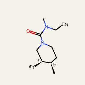 CC(C)[C@H]1CN(C(=O)N(C)CC#N)CC[C@H]1C